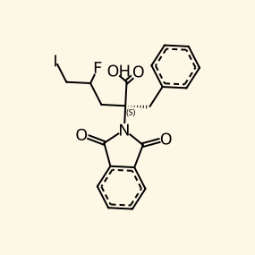 O=C1c2ccccc2C(=O)N1[C@@](Cc1ccccc1)(CC(F)CI)C(=O)O